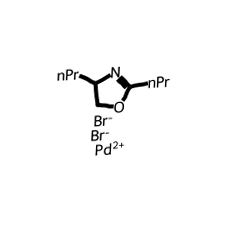 CCCC1=NC(CCC)CO1.[Br-].[Br-].[Pd+2]